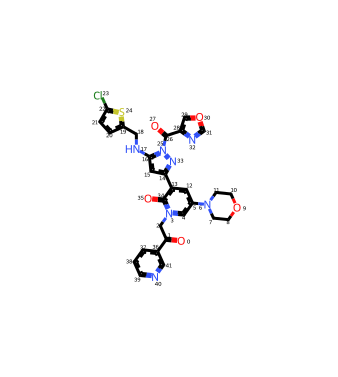 O=C(Cn1cc(N2CCOCC2)cc(-c2cc(NCc3ccc(Cl)s3)n(C(=O)c3cocn3)n2)c1=O)c1cccnc1